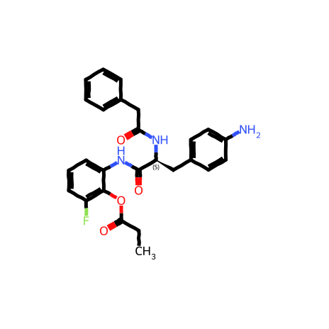 CCC(=O)Oc1c(F)cccc1NC(=O)[C@H](Cc1ccc(N)cc1)NC(=O)Cc1ccccc1